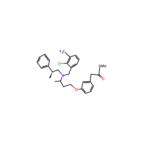 COC(=O)Cc1cccc(OCCC(C)N(Cc2cccc(C(F)(F)F)c2Cl)C[C@@H](C)c2ccccc2)c1